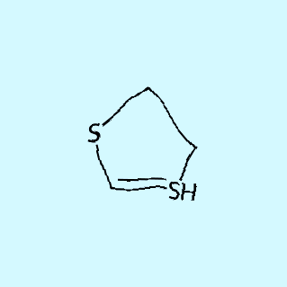 C1=[SH]CCS1